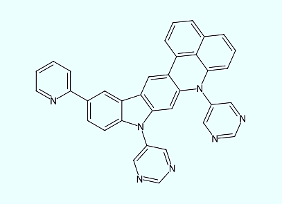 c1ccc(-c2ccc3c(c2)c2cc4c(cc2n3-c2cncnc2)N(c2cncnc2)c2cccc3cccc-4c23)nc1